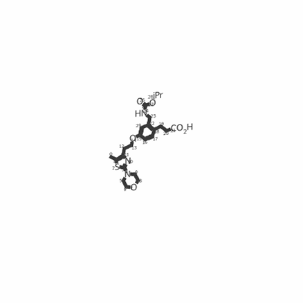 Cc1sc(N2CCOCC2)nc1CCOc1ccc(CCC(=O)O)c(CNC(=O)OC(C)C)c1